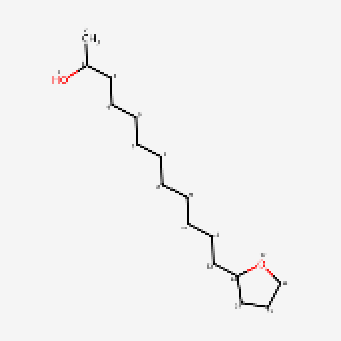 CC(O)CCCCCCCCCCC1CCCO1